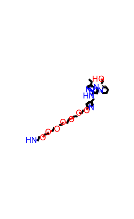 CCc1cnn2c(NCc3ccc(OCCOCCOCCOCCOCCOCCOCCNC)nc3)cc(N3CCCC[C@H]3CCO)nc12